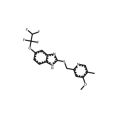 COc1cc(CSc2nc3cc(OC(F)(F)C(F)F)ccc3[nH]2)ncc1C